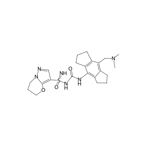 CN(C)Cc1c2c(c(NC(=O)NS(=N)(=O)c3cnn4c3OCCC4)c3c1CCC3)CCC2